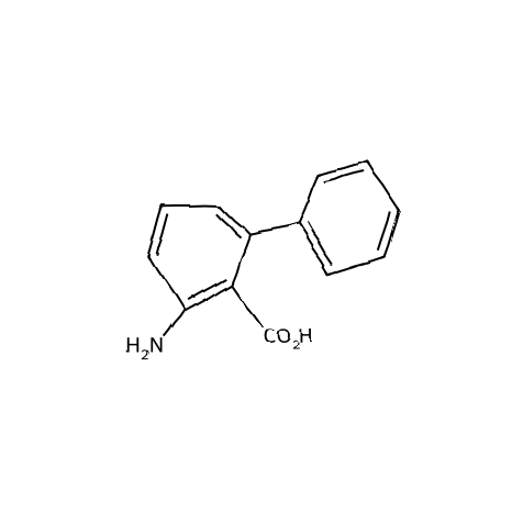 Nc1cccc(-c2ccccc2)c1C(=O)O